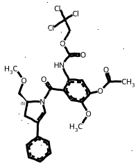 COC[C@@H]1CC(c2ccccc2)=CN1C(=O)c1cc(OC)c(OC(C)=O)cc1NC(=O)OCC(Cl)(Cl)Cl